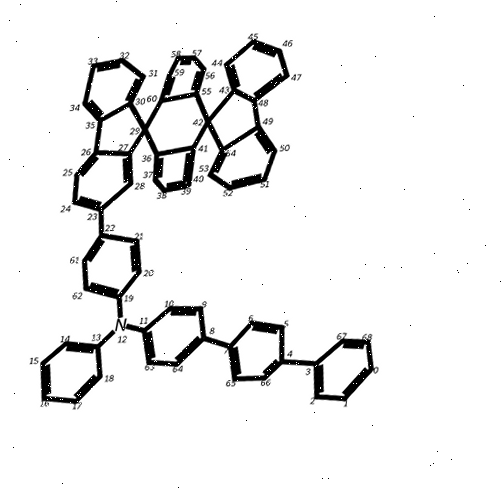 c1ccc(-c2ccc(-c3ccc(N(c4ccccc4)c4ccc(-c5ccc6c(c5)C5(c7ccccc7-6)c6ccccc6C6(c7ccccc7-c7ccccc76)c6ccccc65)cc4)cc3)cc2)cc1